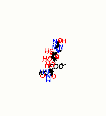 O=C([O-])c1cc(=O)[nH]c(=O)[nH]1.OC[C@H]1O[C@@H](n2cnc3c(O)ncnc32)[C@H](O)[C@@H]1O.[K+]